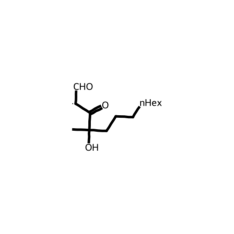 CCCCCCCCCC(C)(O)C(=O)[CH]C=O